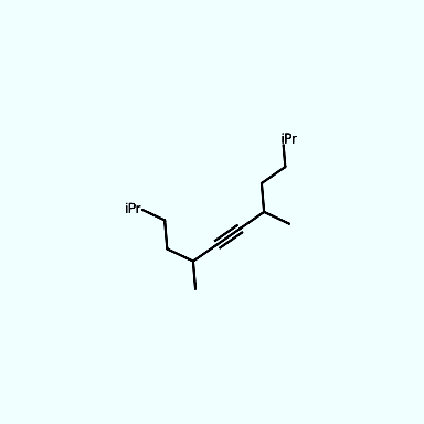 CC(C)CCC(C)C#CC(C)CCC(C)C